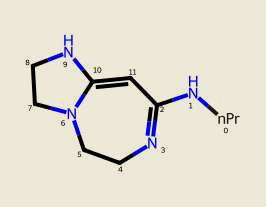 CCCNC1=NCCN2CCNC2=C1